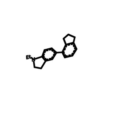 CCN1CCc2cc(-c3cccc4c3CCC4)ccc21